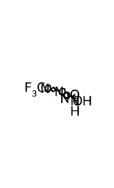 O=C(NO)c1cnc2c(c1)CCN(C1CC3(CCN(C(F)(F)F)CC3)C1)C2